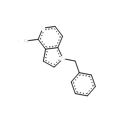 Nc1nccc2c1ccn2Cc1ccccc1